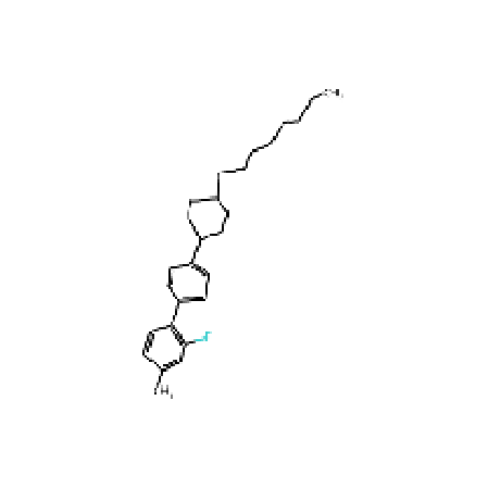 CCCCCCCCC1CCC(c2ccc(-c3ccc(C)cc3F)cc2)CC1